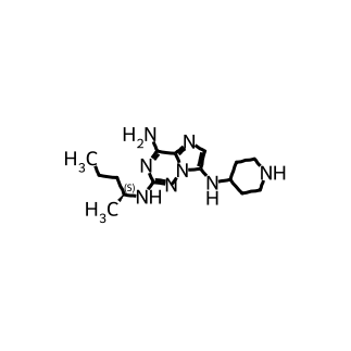 CCC[C@H](C)Nc1nc(N)c2ncc(NC3CCNCC3)n2n1